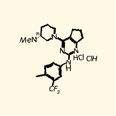 CN[C@@H]1CCCN(c2nc(Nc3ccc(C)c(C(F)(F)F)c3)nc3c2CCC3)C1.Cl.Cl